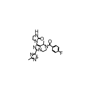 Cc1nsc(-c2nc(N3CCNC3=O)c3n2CCN(C(=O)c2ccc(F)cc2)C3C)n1